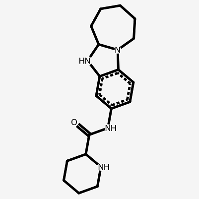 O=C(Nc1ccc2c(c1)NC1CCCCCN21)C1CCCCN1